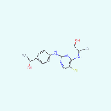 CC(O)c1ccc(Nc2ncc(S)c(N[C@@H](CO)C(C)C)n2)cc1